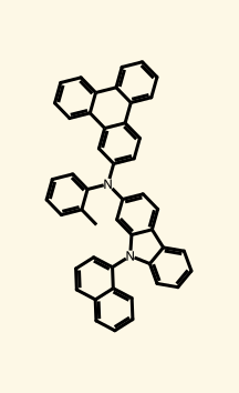 Cc1ccccc1N(c1ccc2c3ccccc3c3ccccc3c2c1)c1ccc2c3ccccc3n(-c3cccc4ccccc34)c2c1